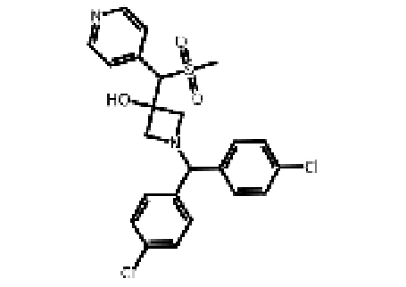 CS(=O)(=O)C(c1ccncc1)C1(O)CN(C(c2ccc(Cl)cc2)c2ccc(Cl)cc2)C1